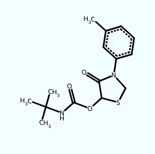 Cc1cccc(N2CSC(OC(=O)NC(C)(C)C)C2=O)c1